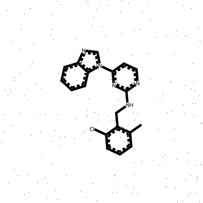 Cc1cccc(Cl)c1CNc1nccc(-n2cnc3ccccc32)n1